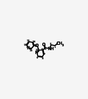 CCCNC(=O)c1cccnc1Oc1cccnc1